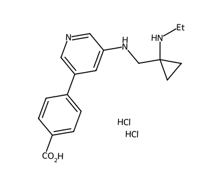 CCNC1(CNc2cncc(-c3ccc(C(=O)O)cc3)c2)CC1.Cl.Cl